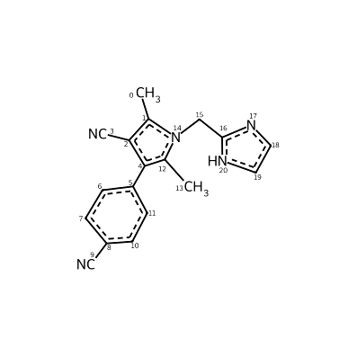 Cc1c(C#N)c(-c2ccc(C#N)cc2)c(C)n1Cc1ncc[nH]1